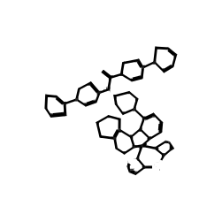 C=C(C1C=CC(C2C=CC=CC2)=CC1)[C@@H](C1=CCC(C2=CCCC=C2)C=C1)C1CCC(C2=CC=CC3C2C2C4=C(CCCC4)CCC2C32C3CCC=CC3SC3C=CCCC32)CC1